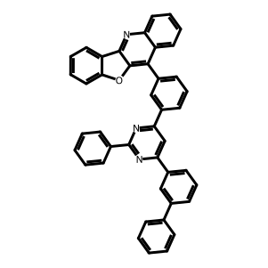 c1ccc(-c2cccc(-c3cc(-c4cccc(-c5c6ccccc6nc6c5oc5ccccc56)c4)nc(-c4ccccc4)n3)c2)cc1